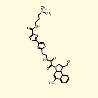 C[S+](C)CCCNC(=O)c1csc(-c2csc(CCNC(=O)C(=O)N3CC(CCl)c4c3cc(O)c3ccccc43)n2)n1.[I-]